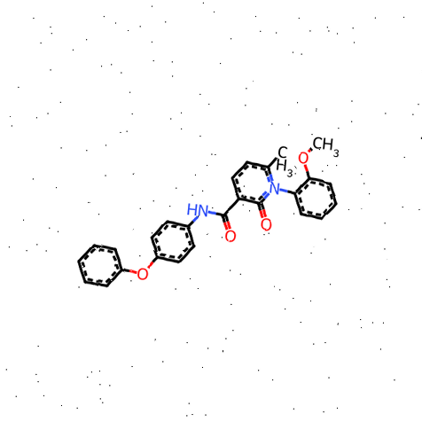 COc1ccccc1-n1c(C)ccc(C(=O)Nc2ccc(Oc3ccccc3)cc2)c1=O